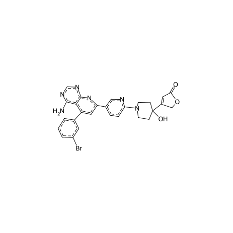 Nc1ncnc2nc(-c3ccc(N4CCC(O)(C5=CC(=O)OC5)CC4)nc3)cc(-c3cccc(Br)c3)c12